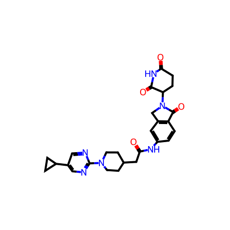 O=C1CCC(N2Cc3cc(NC(=O)CC4CCN(c5ncc(C6CC6)cn5)CC4)ccc3C2=O)C(=O)N1